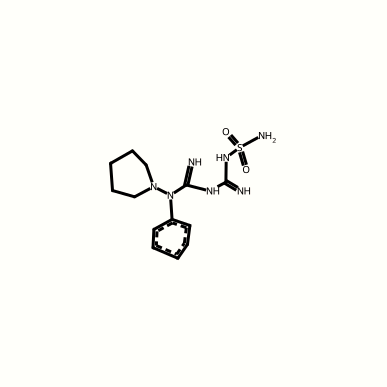 N=C(NC(=N)N(c1ccccc1)N1CCCCC1)NS(N)(=O)=O